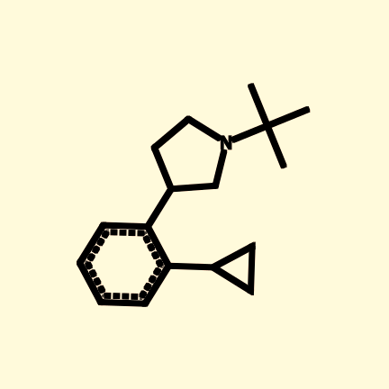 CC(C)(C)N1CCC(c2ccccc2C2CC2)C1